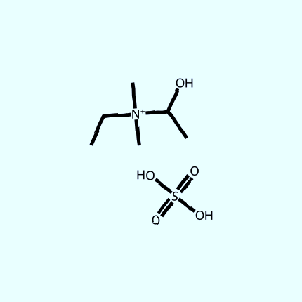 CC[N+](C)(C)C(C)O.O=S(=O)(O)O